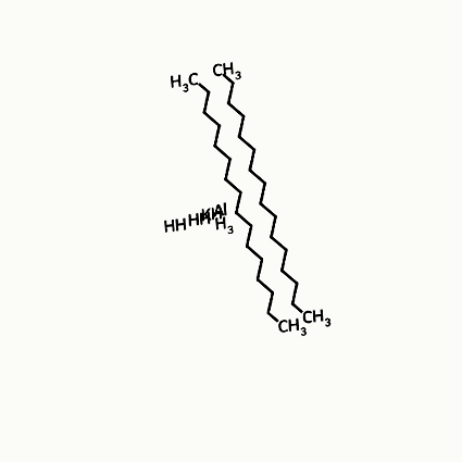 CCCCCCCCCCCCCCCC.CCCCCCCCCCCCCCCC.[AlH3].[HH].[HH].[KH]